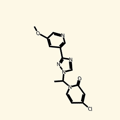 COc1cncc(-c2ncn(C(C)n3ccc(Cl)cc3=O)n2)c1